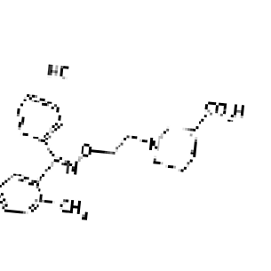 Cc1ccccc1C(=NOCCN1CCC=C(C(=O)O)C1)c1ccccc1.Cl